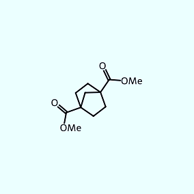 COC(=O)C12CCC(C(=O)OC)(CC1)C2